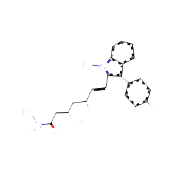 CC(C)N(C(=O)C[C@H](O)C[C@H](O)/C=C/c1c(-c2ccc(F)cc2)c2ccccc2n1C(C)C)C(C)C